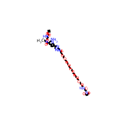 CCCN(OCCNC(=O)OC1CCC1)C(=O)C1=Cc2ccc(-c3cnc(CNC(=O)CCOCCOCCOCCOCCOCCOCCOCCOCCOCCOCCNC(=O)CCN4C(=O)C=CC4=O)nc3)cc2N=C(N)C1